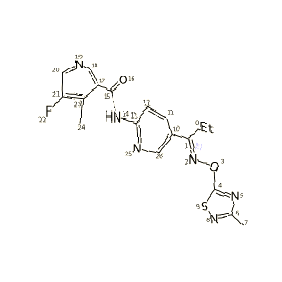 CC/C(=N\Oc1nc(C)ns1)c1ccc(NC(=O)c2cncc(F)c2C)nc1